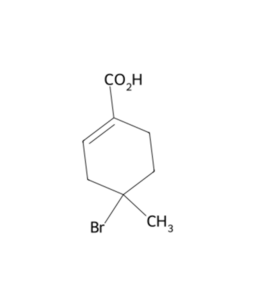 CC1(Br)CC=C(C(=O)O)CC1